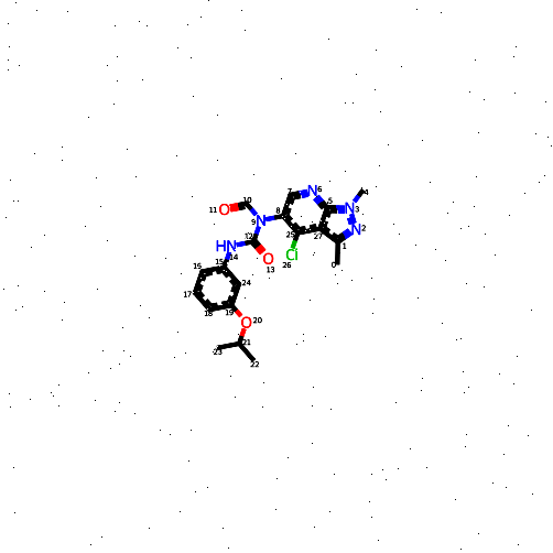 Cc1nn(C)c2ncc(N(C=O)C(=O)Nc3cccc(OC(C)C)c3)c(Cl)c12